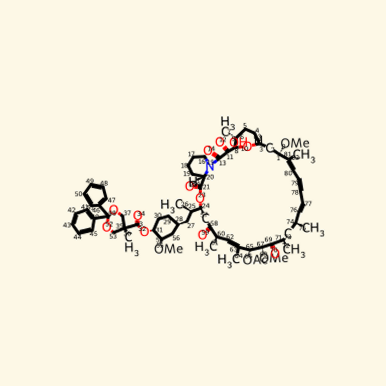 CO[C@H]1C[C@@H]2CC[C@@H](C)[C@@](O)(O2)C(=O)C(=O)N2CCCC[C@H]2C(=O)O[C@H]([C@H](C)C[C@@H]2CC[C@@H](OC(=O)C3(C)COC(c4ccccc4)(c4ccccc4)OC3)[C@H](OC)C2)CC(=O)[C@H](C)/C=C(\C)[C@@H](OC(C)=O)[C@@H](OC)C(=O)[C@H](C)C[C@H](C)/C=C/C=C/C=C/1C